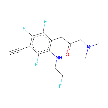 C#Cc1c(F)c(F)c(CC(=O)CN(C)C)c(NCCF)c1F